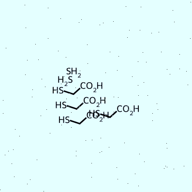 O=C(O)CS.O=C(O)CS.O=C(O)CS.O=C(O)CS.S.S